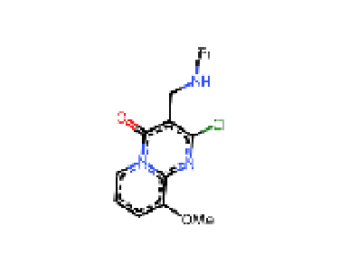 COc1cccn2c(=O)c(CNC(C)C)c(Cl)nc12